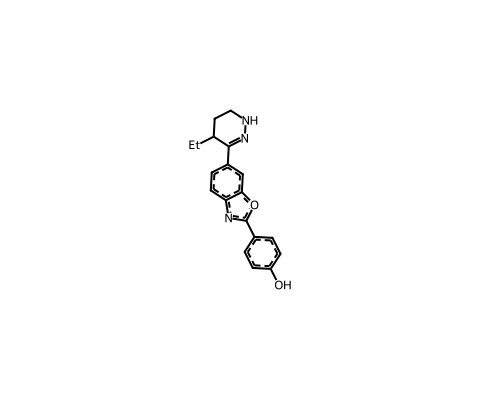 CCC1CCNN=C1c1ccc2nc(-c3ccc(O)cc3)oc2c1